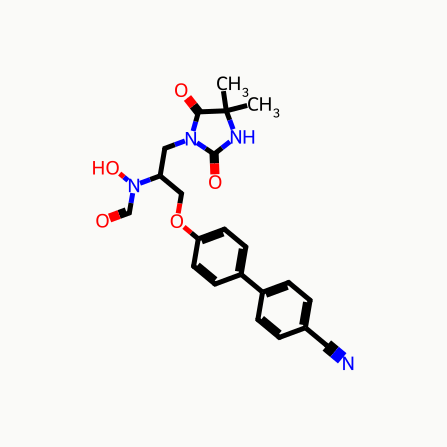 CC1(C)NC(=O)N(CC(COc2ccc(-c3ccc(C#N)cc3)cc2)N(O)C=O)C1=O